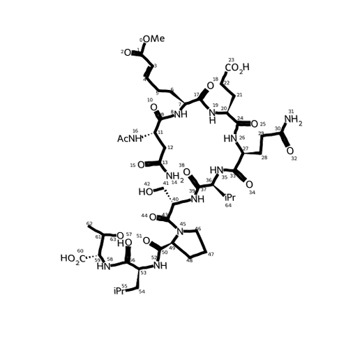 COC(=O)/C=C/CC[C@H](NC(=O)[C@H](CC(N)=O)NC(C)=O)C(=O)N[C@@H](CCC(=O)O)C(=O)N[C@@H](CCC(N)=O)C(=O)N[C@H](C(=O)N[C@@H](CO)C(=O)N1CCC[C@H]1C(=O)N[C@@H](CC(C)C)C(=O)N[C@H](C(=O)O)C(C)O)C(C)C